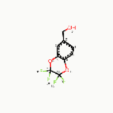 OCc1ccc2c(c1)OC(F)(F)C(F)(F)O2